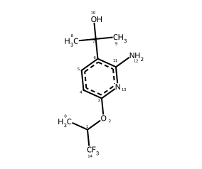 CC(Oc1ccc(C(C)(C)O)c(N)n1)C(F)(F)F